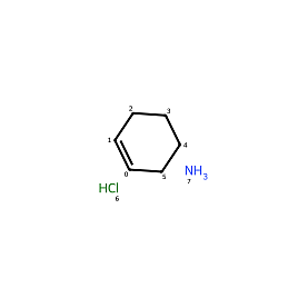 C1=CCCCC1.Cl.N